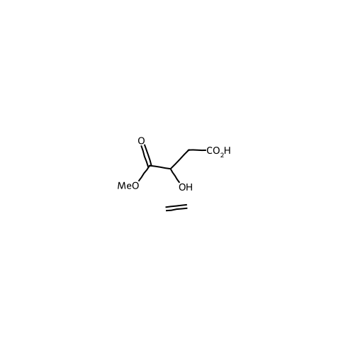 C=C.COC(=O)C(O)CC(=O)O